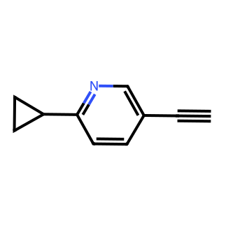 C#Cc1ccc(C2CC2)nc1